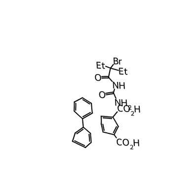 CCC(Br)(CC)C(=O)NC(N)=O.O=C(O)c1cccc(C(=O)O)c1.c1ccc(-c2ccccc2)cc1